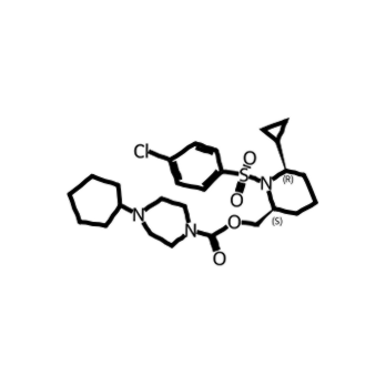 O=C(OC[C@@H]1CCC[C@H](C2CC2)N1S(=O)(=O)c1ccc(Cl)cc1)N1CCN(C2CCCCC2)CC1